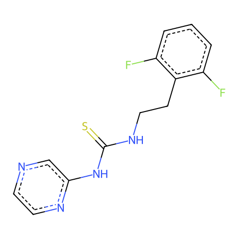 Fc1cccc(F)c1CCNC(=S)Nc1cnccn1